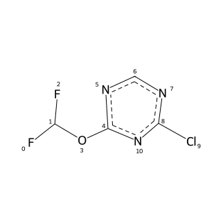 FC(F)Oc1ncnc(Cl)n1